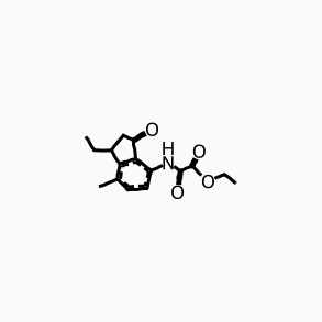 CCOC(=O)C(=O)Nc1ccc(C)c2c1C(=O)CC2CC